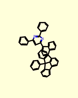 c1ccc(-c2cc(-c3ccc(-c4cccc5c4C(c4ccccc4)(c4ccccc4)c4ccccc4-5)c4ccccc34)nc(-c3ccccc3)n2)cc1